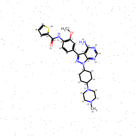 COc1cc(-c2nn(C3CCC(N4CCN(C)CC4)CC3)c3ncnc(N)c23)ccc1NC(=O)c1cccs1